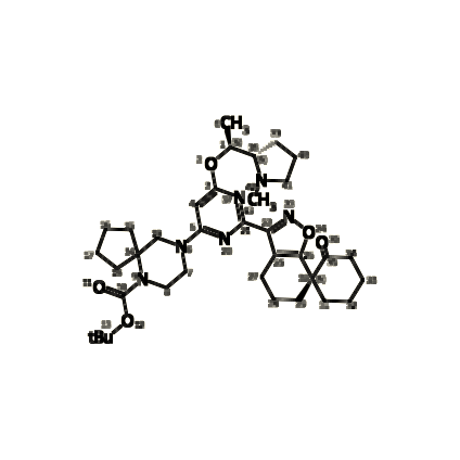 C[C@H](Oc1cc(N2CCN(C(=O)OC(C)(C)C)C3(CCCC3)C2)nc(-c2noc3c2CCC[C@@]32CCCCC2=O)n1)[C@@H]1CCCN1C